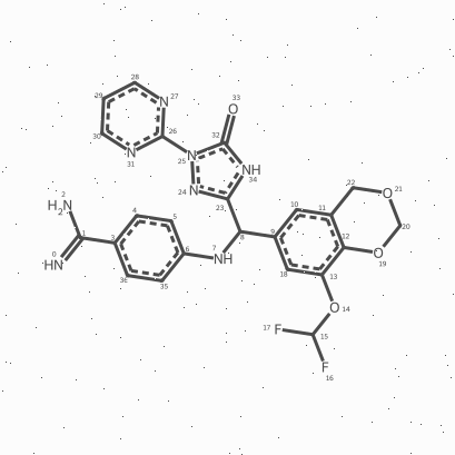 N=C(N)c1ccc(NC(c2cc3c(c(OC(F)F)c2)OCOC3)c2nn(-c3ncccn3)c(=O)[nH]2)cc1